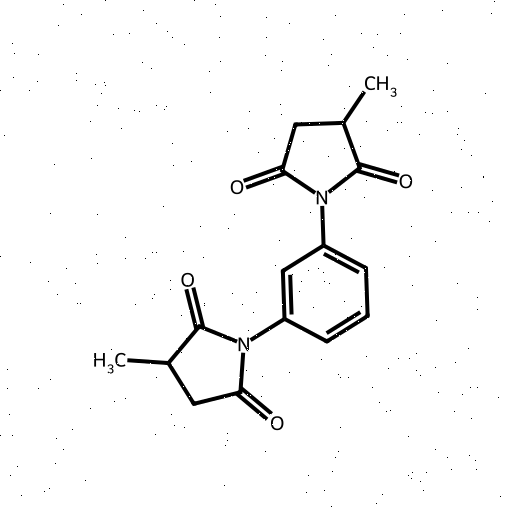 CC1CC(=O)N(c2cccc(N3C(=O)CC(C)C3=O)c2)C1=O